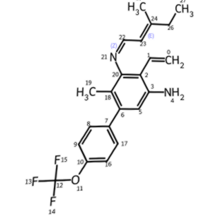 C=Cc1c(N)cc(-c2ccc(OC(F)(F)F)cc2)c(C)c1/N=C\C=C(/C)CC